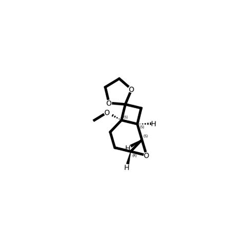 CO[C@@]12CC[C@H]3O[C@H]3[C@@H]1CC21OCCO1